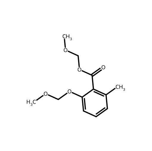 COCOC(=O)c1c(C)cccc1OCOC